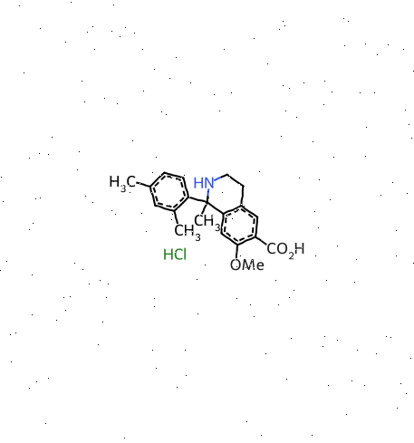 COc1cc2c(cc1C(=O)O)CCNC2(C)c1ccc(C)cc1C.Cl